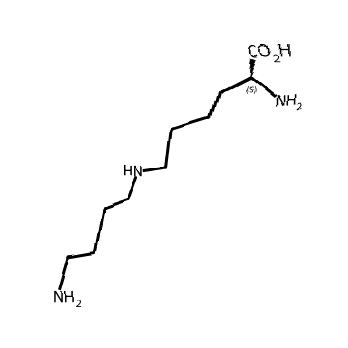 NCCCCNCCCC[C@H](N)C(=O)O